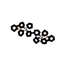 c1ccc([Si](c2ccccc2)(c2cccc(-c3cccc([Si](c4ccccc4)(c4ccccc4)c4cccc5c4sc4ccccc45)c3)c2)c2cccc3c2sc2ccccc23)cc1